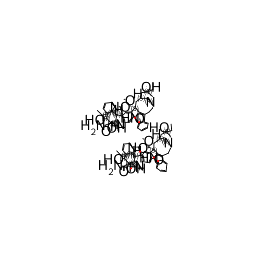 CC[C@]1(O)C[C@H]2C[N@](CCc3c([nH]c4ccccc34)[C@@](C(=O)OC)(c3cc4c(cc3OC)N(C)[C@H]3[C@@](O)(C(N)=O)[C@H](O)[C@]5(CC)C=CCN6CC[C@]43[C@@H]65)C2)C1.CC[C@]1(O)C[C@H]2C[N@](CCc3c([nH]c4ccccc34)[C@@](C(=O)OC)(c3cc4c(cc3OC)N(C)[C@H]3[C@@](O)(C(N)=O)[C@H](O)[C@]5(CC)C=CCN6CC[C@]43[C@@H]65)C2)C1